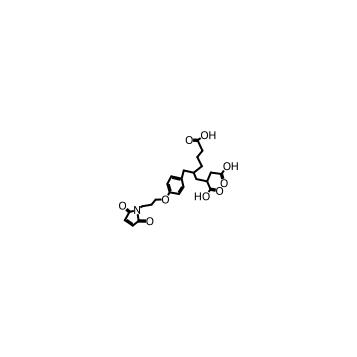 O=C(O)CCCC(Cc1ccc(OCCCN2C(=O)C=CC2=O)cc1)CC(CC(=O)O)C(=O)O